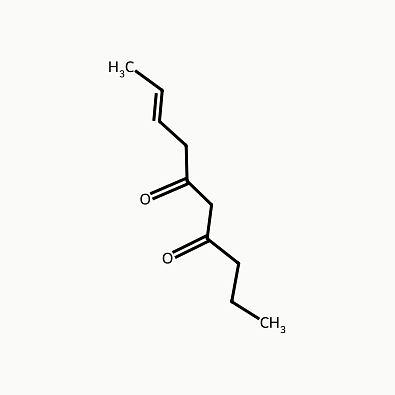 C/C=C/CC(=O)CC(=O)CCC